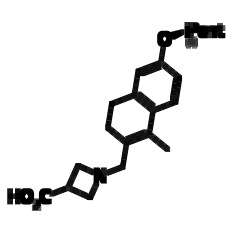 CCC[C@H](C)Oc1ccc2c(c1)CCC(CN1CC(C(=O)O)C1)=C2C